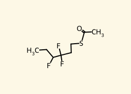 CCC(F)C(F)(F)CCSC(C)=O